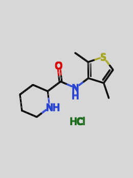 Cc1csc(C)c1NC(=O)C1CCCCN1.Cl